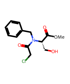 COC(=O)[C@H](CO)N(Cc1ccccc1)C(=O)CCl